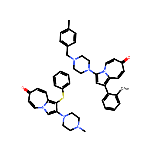 CN1CCN(c2cn3ccc(=O)ccc3c2Sc2ccccc2)CC1.COc1ccccc1-c1cc(N2CCN(Cc3ccc(C)cc3)CC2)n2ccc(=O)ccc12